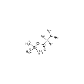 [2H]C([2H])C([2H])([2H])C(=O)O[Si](C)(C)C